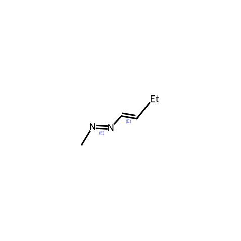 CC/C=C/N=N/C